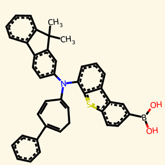 CC1(C)c2ccccc2-c2ccc(N(C3=CCC=C(c4ccccc4)C=C3)c3cccc4c3sc3ccc(B(O)O)cc34)cc21